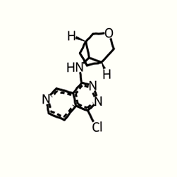 Clc1nnc(NC2[C@@H]3CC[C@H]2COC3)c2cnccc12